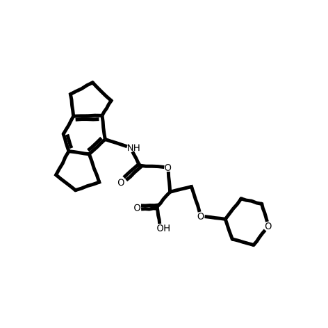 O=C(Nc1c2c(cc3c1CCC3)CCC2)OC(COC1CCOCC1)C(=O)O